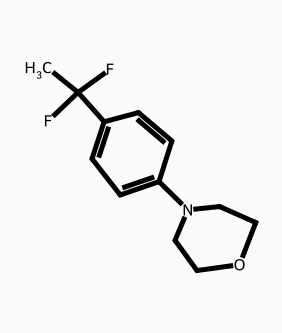 CC(F)(F)c1ccc(N2CCOCC2)cc1